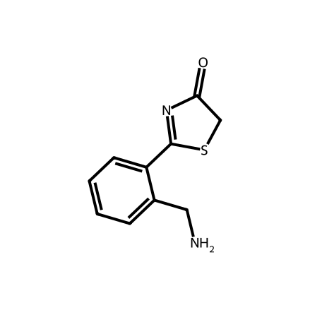 NCc1ccccc1C1=NC(=O)CS1